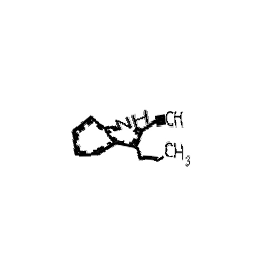 C#Cc1[nH]c2ccccc2c1/C=C\C